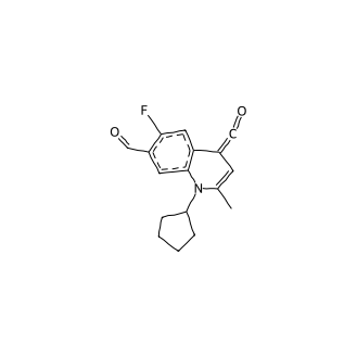 CC1=CC(=C=O)c2cc(F)c(C=O)cc2N1C1CCCC1